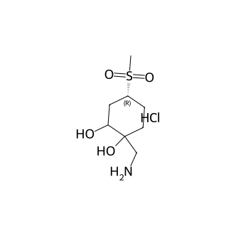 CS(=O)(=O)[C@@H]1CCC(O)(CN)C(O)C1.Cl